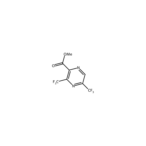 COC(=O)c1ncc(C(F)(F)F)nc1C(F)(F)F